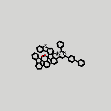 C1=C(c2cccc3c2-c2ccc4sc5ccccc5c4c2C32c3ccccc3C3(c4ccccc4-c4ccccc43)c3ccccc32)NC(c2ccccc2)N=C1c1ccc(-c2ccccc2)cc1